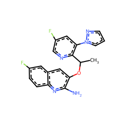 CC(Oc1cc2cc(F)ccc2nc1N)c1ncc(F)cc1-n1cccn1